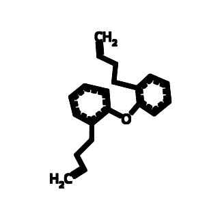 C=CCCc1ccccc1Oc1ccccc1CCC=C